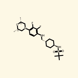 C[C@@H]1CN(c2ccc(NC[C@H]3CC[C@H](NS(=O)(=O)C(C)(C)C)CC3)c(F)c2F)C[C@H](C)O1